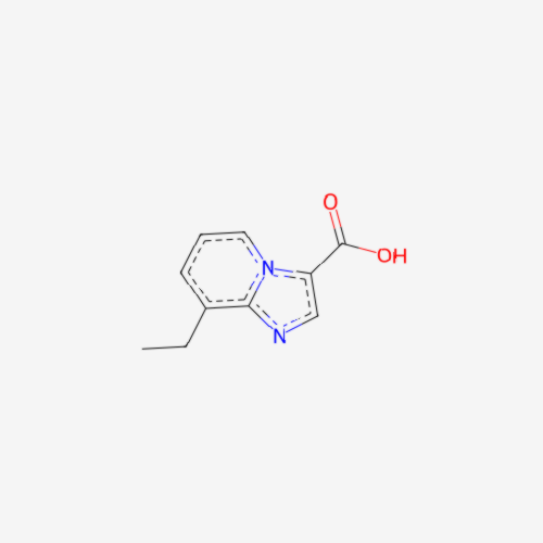 CCc1cccn2c(C(=O)O)cnc12